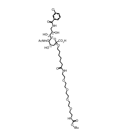 CC(=O)N[C@H]1[C@H]([C@H](O)[C@H](O)CNC(=O)c2cccc(Cl)c2)O[C@@](OCCCCCCC(=O)NCCOCCOCCOCCOCCNC(=O)OC(C)(C)C)(C(=O)O)C[C@@H]1O